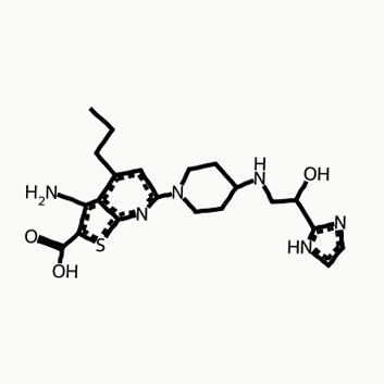 CCCc1cc(N2CCC(NCC(O)c3ncc[nH]3)CC2)nc2sc(C(=O)O)c(N)c12